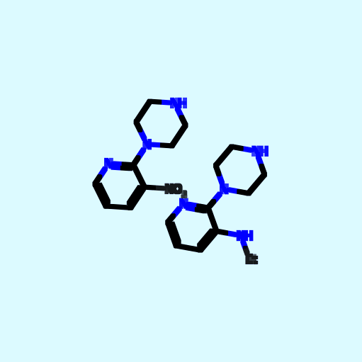 CCNc1cccnc1N1CCNCC1.O=[N+]([O-])c1cccnc1N1CCNCC1